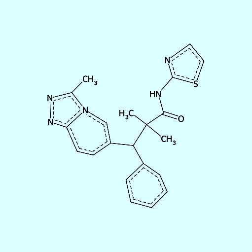 Cc1nnc2ccc(C(c3ccccc3)C(C)(C)C(=O)Nc3nccs3)cn12